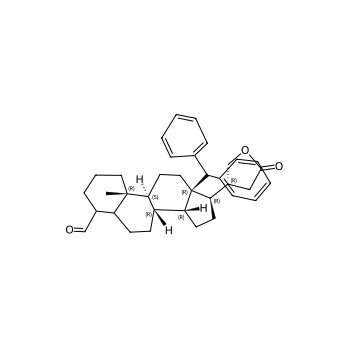 C[C@]12CCCC(C=O)C1CC[C@H]1[C@H]3CC[C@H]([C@@H]4COC(=O)C4)[C@@]3(C(c3ccccc3)c3ccccc3)CC[C@@H]12